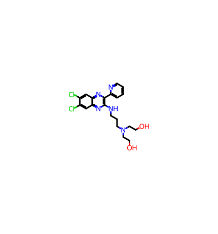 OCCN(CCO)CCCNc1nc2cc(Cl)c(Cl)cc2nc1-c1ccccn1